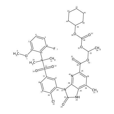 COc1cccc(F)c1C(C)(C)S(=O)(=O)c1ccc(Cl)c(-n2c(=O)[nH]c3c(C)cc(C(=O)OC(C)OC(=O)OC4CCCCC4)nc32)c1